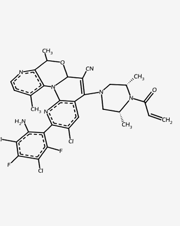 C=CC(=O)N1[C@H](C)CN(C2=C(C#N)C3OC(C)c4nccc(C)c4N3c3nc(-c4c(N)c(Cl)c(F)c(Cl)c4F)c(Cl)cc32)C[C@@H]1C